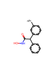 CCCc1cccc(C(C(=O)NO)c2ccccc2)c1